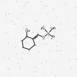 CC(C)[Si](O/C=C1\CCCCC1O)(C(C)C)C(C)C